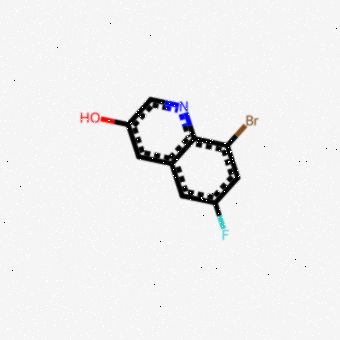 Oc1cnc2c(Br)cc(F)cc2c1